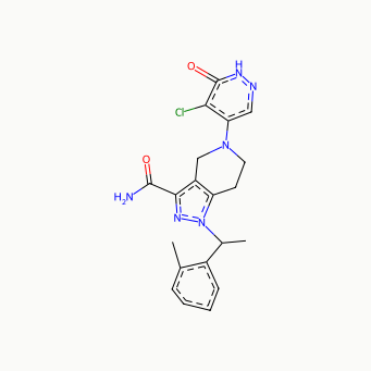 Cc1ccccc1C(C)n1nc(C(N)=O)c2c1CCN(c1cn[nH]c(=O)c1Cl)C2